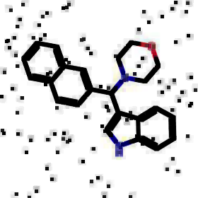 c1ccc2cc(C(c3c[nH]c4ccccc34)N3CCOCC3)ccc2c1